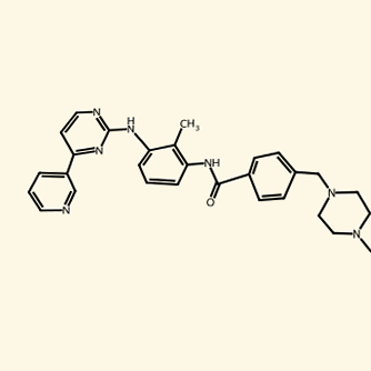 Cc1c(NC(=O)c2ccc(CN3CCN(C)CC3)cc2)cccc1Nc1nccc(-c2cccnc2)n1